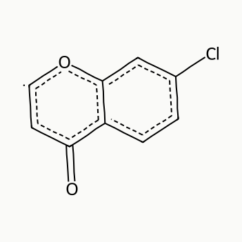 O=c1c[c]oc2cc(Cl)ccc12